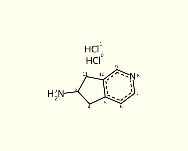 Cl.Cl.NC1Cc2ccncc2C1